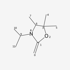 C=C1OC(C)(C)C(C)N1C(C)C